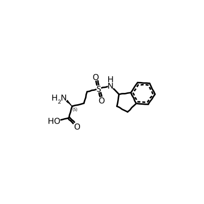 N[C@@H](CCS(=O)(=O)NC1CCc2ccccc21)C(=O)O